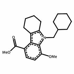 COC(=O)c1ccc(OC)c2c1c1c(n2CC2CCCCC2)CCCC1